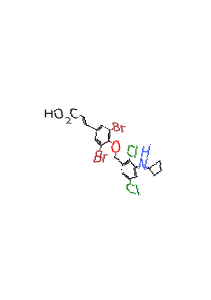 O=C(O)C=Cc1cc(Br)c(OCc2cc(Cl)cc(NC3CCC3)c2Cl)c(Br)c1